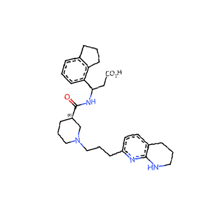 O=C(O)CC(NC(=O)[C@@H]1CCCN(CCCc2ccc3c(n2)NCCC3)C1)c1cccc2c1CCC2